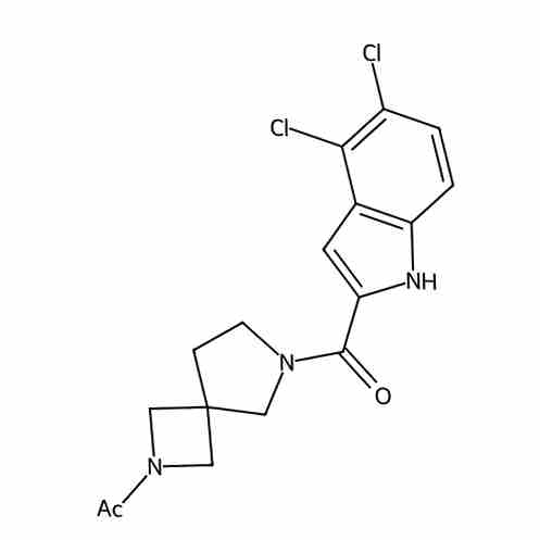 CC(=O)N1CC2(CCN(C(=O)c3cc4c(Cl)c(Cl)ccc4[nH]3)C2)C1